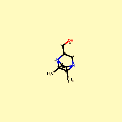 CC1=C(C)N2CCN1CC2CO